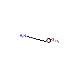 COc1ccc(CCCCCCCCCCCN)cc1